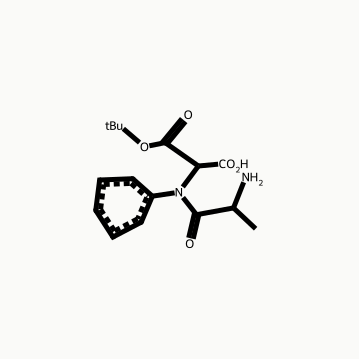 CC(N)C(=O)N(c1ccccc1)C(C(=O)O)C(=O)OC(C)(C)C